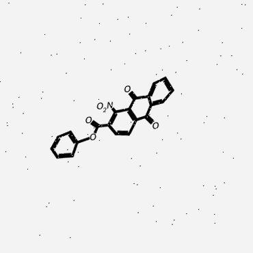 O=C1c2ccccc2C(=O)c2c1ccc(C(=O)Oc1ccccc1)c2[N+](=O)[O-]